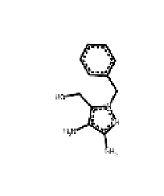 Nc1nn(Cc2ccccc2)c(CO)c1N